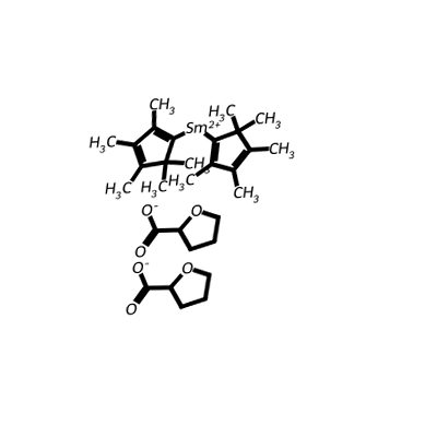 CC1=C(C)C(C)(C)[C]([Sm+2][C]2=C(C)C(C)=C(C)C2(C)C)=C1C.O=C([O-])C1CCCO1.O=C([O-])C1CCCO1